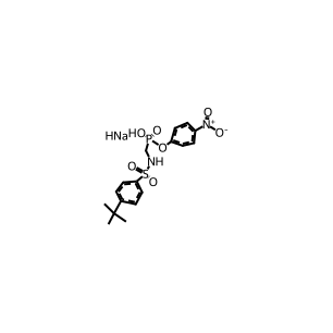 CC(C)(C)c1ccc(S(=O)(=O)NCP(=O)(O)Oc2ccc([N+](=O)[O-])cc2)cc1.[NaH]